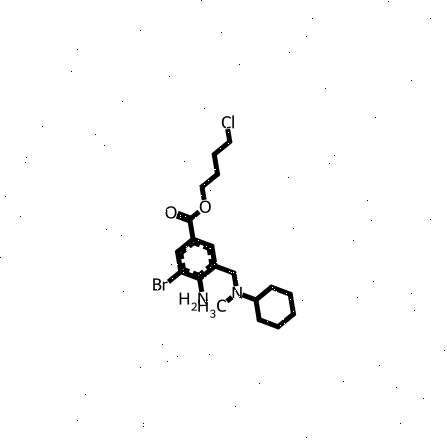 CN(Cc1cc(C(=O)OCCCCCl)cc(Br)c1N)C1CCCCC1